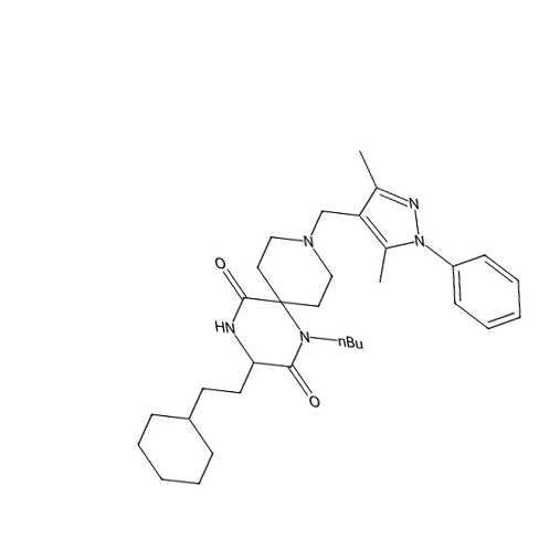 CCCCN1C(=O)C(CCC2CCCCC2)NC(=O)C12CCN(Cc1c(C)nn(-c3ccccc3)c1C)CC2